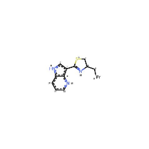 CC(C)CC1CSC(c2c[nH]c3cccnc23)=N1